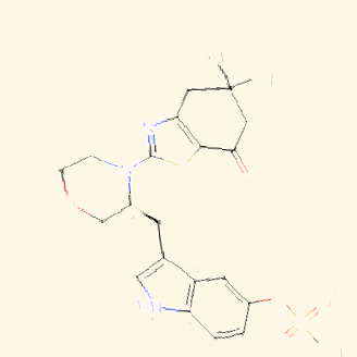 CC1(C)CC(=O)c2sc(N3CCOC[C@@H]3Cc3c[nH]c4ccc(OS(C)(=O)=O)cc34)nc2C1